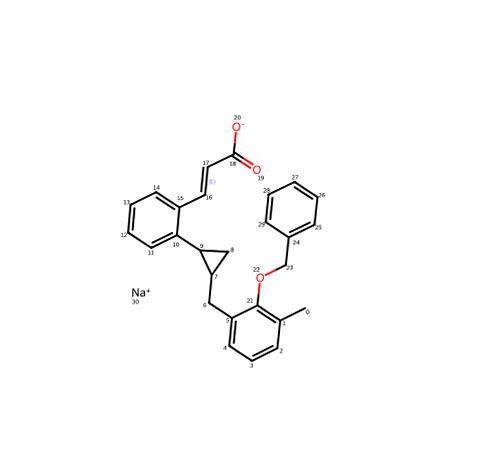 Cc1cccc(CC2CC2c2ccccc2/C=C/C(=O)[O-])c1OCc1ccccc1.[Na+]